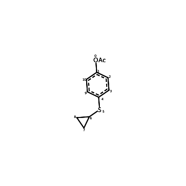 CC(=O)Oc1ccc(SC2CC2)cc1